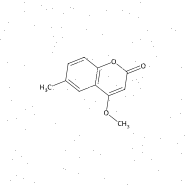 COc1cc(=O)oc2ccc(C)cc12